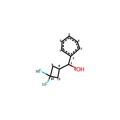 OC(c1ccccc1)C1CC(F)(F)C1